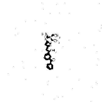 CCN(CC)C(N)=Nc1cc(CC(C)c2cccc(C(=O)c3ccccc3)c2)no1